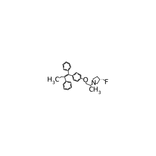 CC/C(=C(\c1ccccc1)c1ccc(OC[C@@H](C)N2CC[C@H](CF)C2)cc1)c1ccccc1